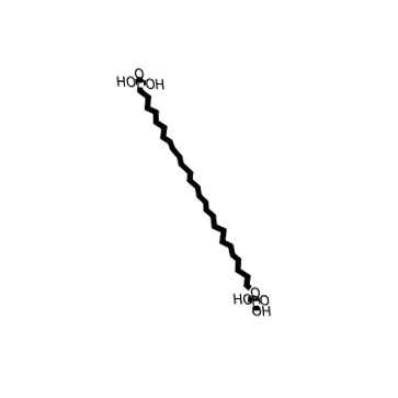 O=P(O)(O)CCCCCCCCCCCCCCCCCCCCCCCCCCCOP(=O)(O)O